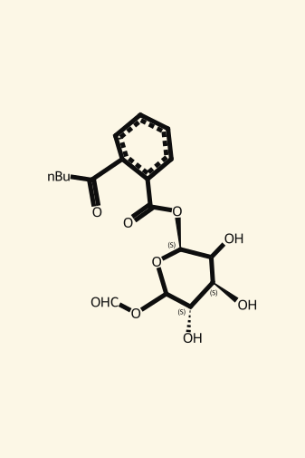 CCCCC(=O)c1ccccc1C(=O)O[C@@H]1OC(OC=O)[C@@H](O)[C@H](O)C1O